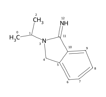 CC(C)N1Cc2ccccc2C1=N